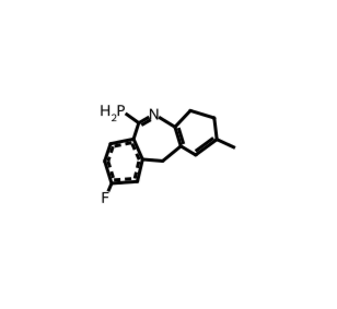 CC1=CC2=C(CC1)N=C(P)c1ccc(F)cc1C2